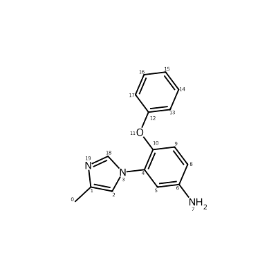 Cc1cn(-c2cc(N)ccc2Oc2ccccc2)cn1